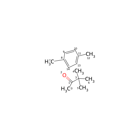 CC(=O)C(C)(C)C.Cc1ccc(C)cc1